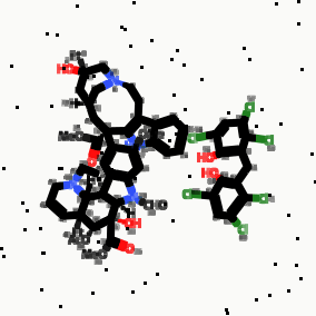 CC[C@]1(O)C[C@H]2C[N@](CCc3c([nH]c4ccccc34)[C@@](C(=O)OC)(c3cc4c(cc3OC)N(C=O)[C@H]3[C@@](O)(C(=O)OC)[C@H](OC(C)=O)[C@]5(CC)C=CCN6CC[C@]43[C@@H]65)C2)C1.Oc1c(Cl)cc(Cl)c(Cl)c1Cc1c(O)c(Cl)cc(Cl)c1Cl